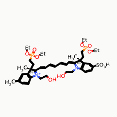 CCOP(=O)(CC[C@@]1(C)C(=CC=CC=CC=CC2=[N+](CCO)c3ccc(C)cc3[C@]2(C)CCP(=O)(OCC)OCC)N(CCO)c2ccc(S(=O)(=O)O)cc21)OCC